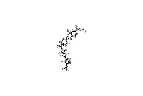 COc1cc(C(N)=O)ccc1COC1CCN(C(=O)N2CC3(CC(c4nnc(C5CC5)[nH]4)C3)C2)CC1